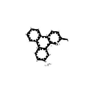 Cc1ccc2c3ccccc3c3ccccc3c2n1.[Ir+3]